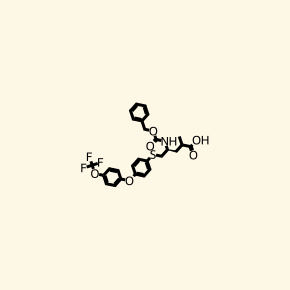 CC(C[C@@H](CSc1ccc(Oc2ccc(OC(F)(F)F)cc2)cc1)NC(=O)OCc1ccccc1)C(=O)O